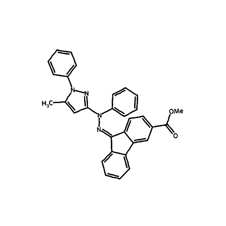 COC(=O)c1ccc2c(c1)-c1ccccc1/C2=N/N(c1ccccc1)c1cc(C)n(-c2ccccc2)n1